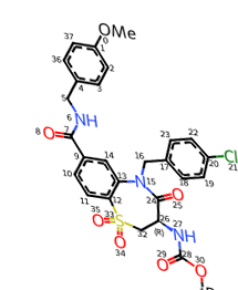 COc1ccc(CNC(=O)c2ccc3c(c2)N(Cc2ccc(Cl)cc2)C(=O)[C@@H](NC(=O)OC(C)(C)C)CS3(=O)=O)cc1